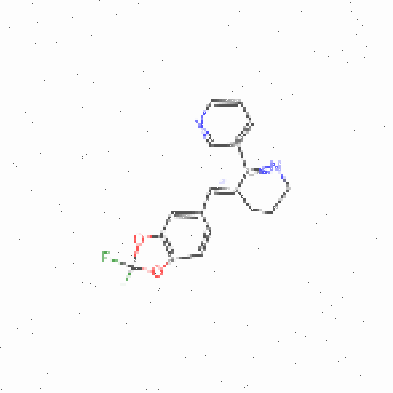 FC1(F)Oc2ccc(/C=C3\CCCN=C3c3cccnc3)cc2O1